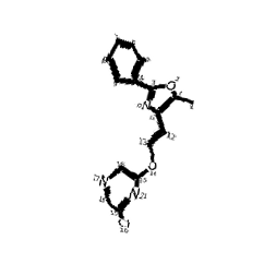 Cc1oc(-c2ccccc2)nc1CCOc1cncc(Cl)n1